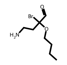 CCCCOC(Br)(C=O)CCN